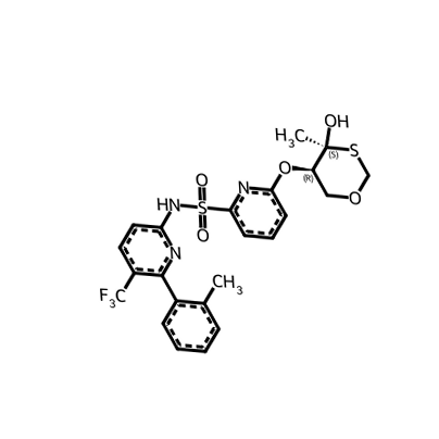 Cc1ccccc1-c1nc(NS(=O)(=O)c2cccc(O[C@@H]3COCS[C@]3(C)O)n2)ccc1C(F)(F)F